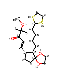 CCCOC(C)(C)C(=O)C=C[C@H]1CCC2(OCCO2)[C@@H]1CCCCC1SCCS1